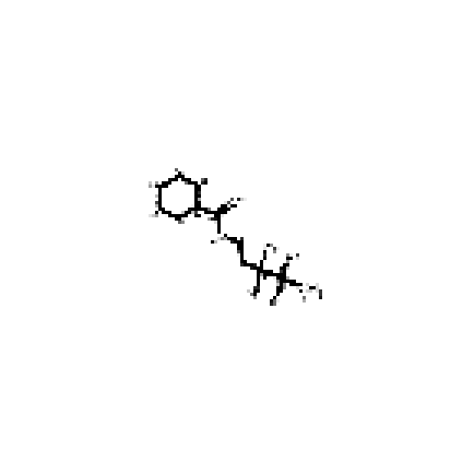 CC(F)(F)C(F)(F)CCOC(=O)C1CCCCC1